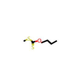 CCCCOC(=S)SC